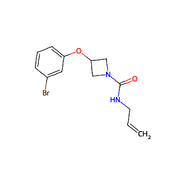 C=CCNC(=O)N1CC(Oc2cccc(Br)c2)C1